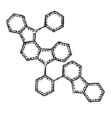 c1ccc(-n2c3ccccc3c3ccc4c(c5ccccc5n4-c4ccccc4-c4cccc5c4sc4ccccc45)c32)cc1